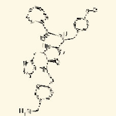 CCOc1ccc(CC(NC(=O)c2ccccc2)C(=O)NC(Cc2cscn2)C(=O)NCc2ccc(CN)cc2)cc1